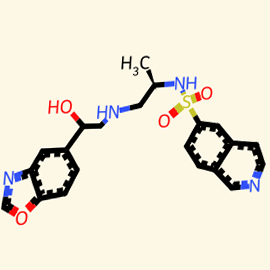 C[C@H](CNCC(O)c1ccc2ocnc2c1)NS(=O)(=O)c1ccc2cnccc2c1